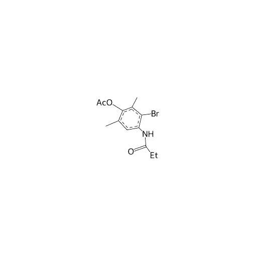 CCC(=O)Nc1cc(C)c(OC(C)=O)c(C)c1Br